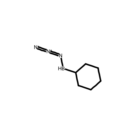 [N-]=[N+]=NBC1CCCCC1